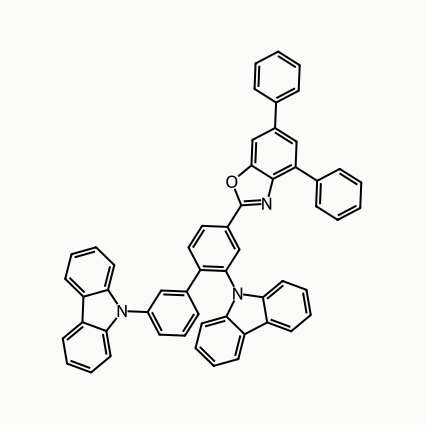 c1ccc(-c2cc(-c3ccccc3)c3nc(-c4ccc(-c5cccc(-n6c7ccccc7c7ccccc76)c5)c(-n5c6ccccc6c6ccccc65)c4)oc3c2)cc1